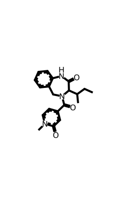 CCC(C)C1C(=O)Nc2ccccc2CN1C(=O)c1ccn(C)c(=O)c1